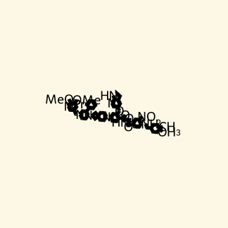 COc1cc(CN2CCN(C3CC4(CCN(c5ccc(C(=O)NS(=O)(=O)c6ccc(NCC7CCC(C)(O)CC7)c([N+](=O)[O-])c6)c(Oc6cnc7[nH]ccc7c6)c5)CC4)C3)C(c3ccccc3C(C)C)C2)cnc1OC